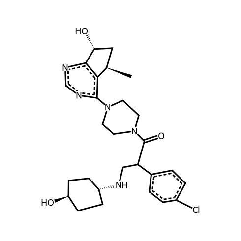 C[C@@H]1C[C@@H](O)c2ncnc(N3CCN(C(=O)C(CN[C@H]4CC[C@H](O)CC4)c4ccc(Cl)cc4)CC3)c21